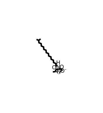 CCCC(NC(=O)CCCCCCCCCCCCCCC(C)C)(C(=O)[O-])[N+](C)(C)C